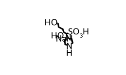 O=S(=O)(O)C(C(O)CCCO)N1CCNCC1.[NaH]